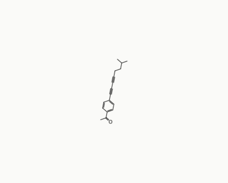 CC(=O)c1ccc(C#CC#CCCC(C)C)cc1